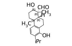 CC(C)c1ccc2c(c1O)CC[C@H]1[C@@](C)(C=O)[C@@H](O)CC[C@]21C